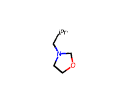 C[C](C)CN1CCOC1